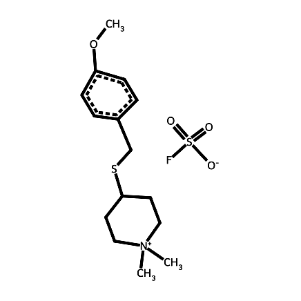 COc1ccc(CSC2CC[N+](C)(C)CC2)cc1.O=S(=O)([O-])F